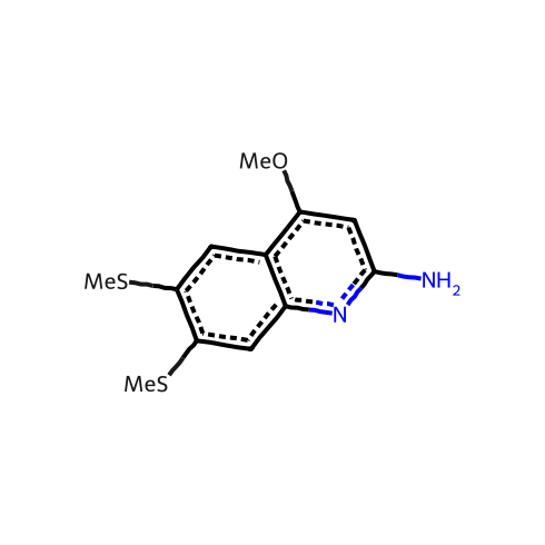 COc1cc(N)nc2cc(SC)c(SC)cc12